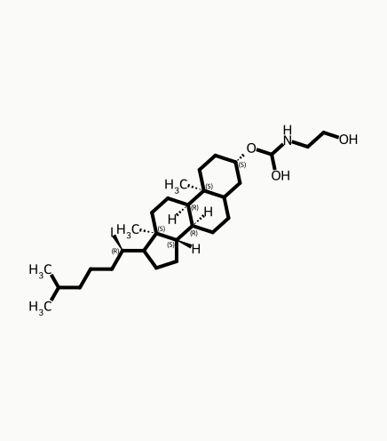 CC(C)CCC[C@@H](I)C1CC[C@H]2[C@@H]3CCC4C[C@@H](OC(O)NCCO)CC[C@]4(C)[C@@H]3CC[C@]12C